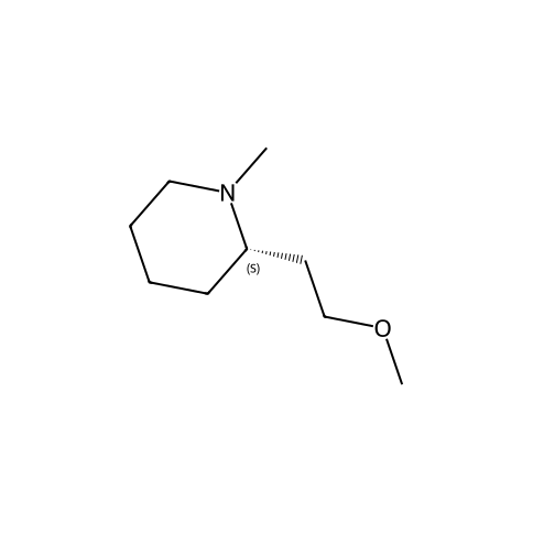 COCC[C@@H]1CCCCN1C